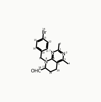 Cc1nc(C)c2c(n1)N(Cc1ccc(Br)cc1)C(C=O)CC2